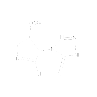 COc1snc(Cl)c1-n1nn[nH]c1=O